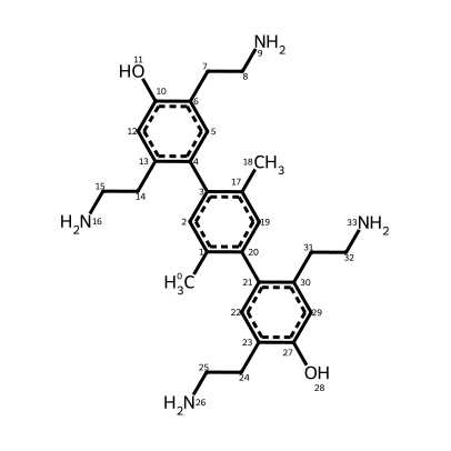 Cc1cc(-c2cc(CCN)c(O)cc2CCN)c(C)cc1-c1cc(CCN)c(O)cc1CCN